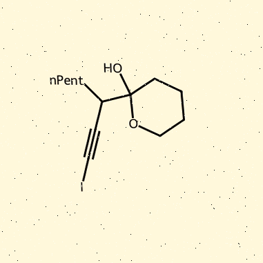 CCCCCC(C#CI)C1(O)CCCCO1